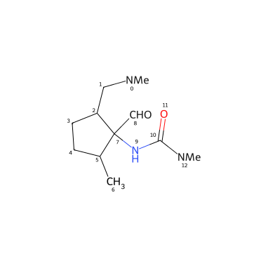 CNCC1CCC(C)C1(C=O)NC(=O)NC